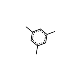 Cc1[c]c(C)cc(C)c1